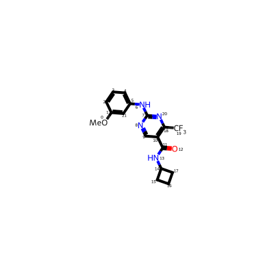 COc1cccc(Nc2ncc(C(=O)NC3CCC3)c(C(F)(F)F)n2)c1